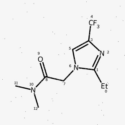 CCc1nc(C(F)(F)F)cn1CC(=O)N(C)C